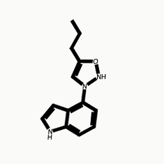 CC[CH]C1=CN(c2cccc3[nH]ccc23)NO1